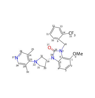 COc1cccc2c1n(Cc1ccccc1C(F)(F)F)c(=O)n2[C@@H]1CCN(c2c(C)cncc2C)C1